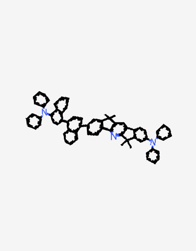 CC1(C)c2cc(-c3ccc(-c4ccc(N(c5ccccc5)c5ccccc5)c5ccccc45)c4ccccc34)ccc2-c2nc3c(cc21)-c1ccc(N(c2ccccc2)c2ccccc2)cc1C3(C)C